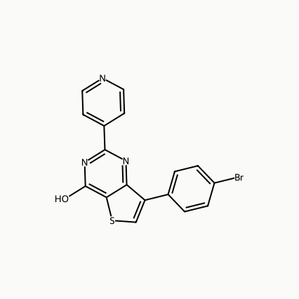 Oc1nc(-c2ccncc2)nc2c(-c3ccc(Br)cc3)csc12